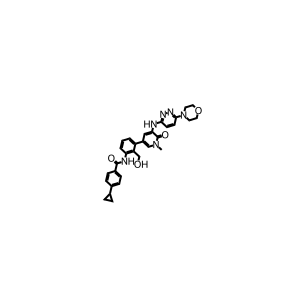 Cn1cc(-c2cccc(NC(=O)c3ccc(C4CC4)cc3)c2CO)cc(Nc2ccc(N3CCOCC3)nn2)c1=O